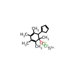 CC1=C(C)C(C2=CC=CC2)C(C)([O-])C(C)=C1C.[Cl-].[Cl-].[Ti+3]